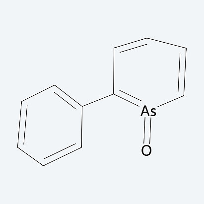 O=[As]1=C(c2ccccc2)C=CC=C1